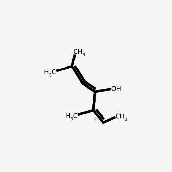 C/C=C(/C)C(O)=C=C(C)C